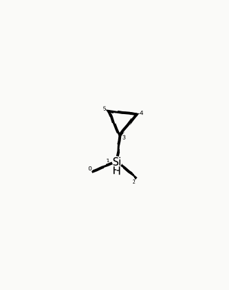 C[SiH](C)C1CC1